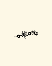 C[N+](C)(Cc1ccc(CNC(=O)c2cc(-c3ccc(Cl)cc3)oc2C(F)(F)F)cc1)C1CCOCC1